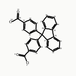 O=C(Cl)c1ccc(C2(c3ccc(C(=O)Cl)cc3)c3ccccc3-c3ccccc32)cc1